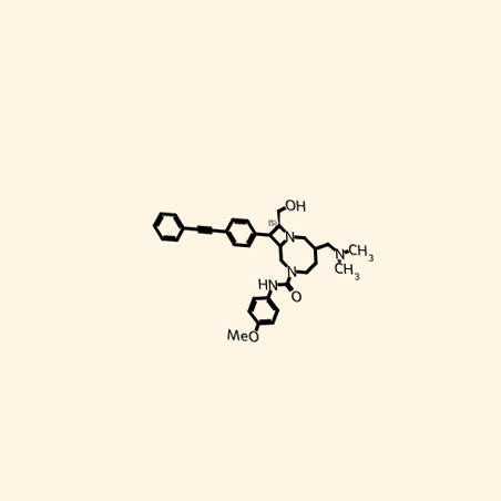 COc1ccc(NC(=O)N2CCC(CN(C)C)CN3C(C2)C(c2ccc(C#Cc4ccccc4)cc2)[C@H]3CO)cc1